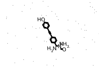 NC(c1ccc(C#Cc2ccc(O)cc2)cc1)N(N)C=O